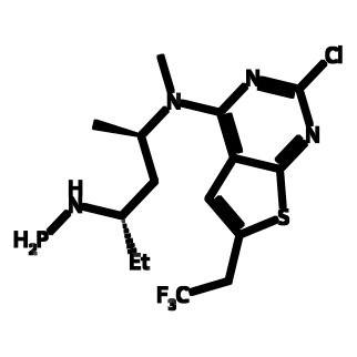 CC[C@@H](C[C@@H](C)N(C)c1nc(Cl)nc2sc(CC(F)(F)F)cc12)NP